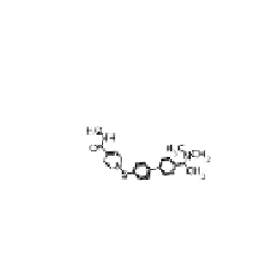 CC(c1ccc(-c2ccc(SN3CC=C(C(=O)NO)CC3)cc2)cc1)N(C)C